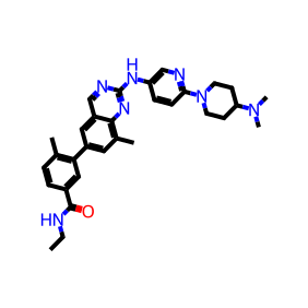 CCNC(=O)c1ccc(C)c(-c2cc(C)c3nc(Nc4ccc(N5CCC(N(C)C)CC5)nc4)ncc3c2)c1